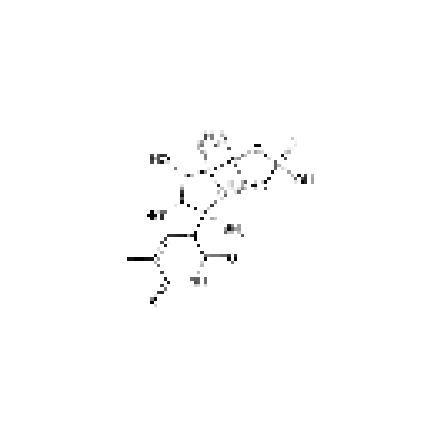 BC(B)(OP(=O)(O)O)[C@@]1(F)O[C@@](B)(n2cc(C)c(=S)[nH]c2=O)[C@H](O)[C@@H]1O